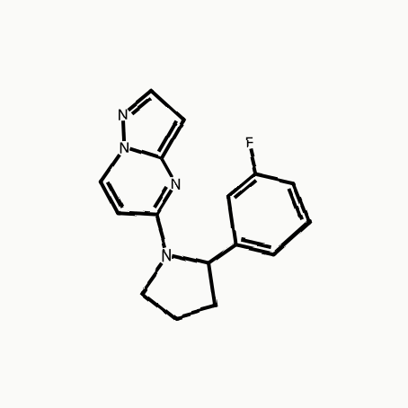 Fc1cccc(C2CCCN2c2ccn3nccc3n2)c1